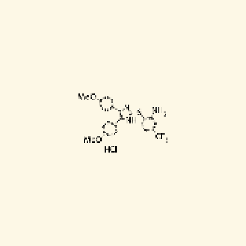 COc1ccc(-c2nc(Sc3ccc(C(F)(F)F)cc3N)[nH]c2-c2ccc(OC)cc2)cc1.Cl